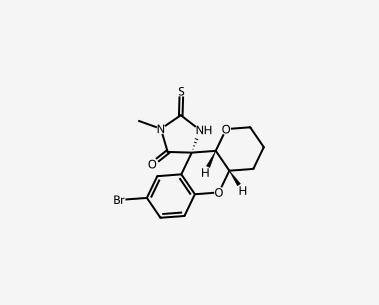 CN1C(=O)[C@]2(NC1=S)c1cc(Br)ccc1O[C@H]1CCCO[C@H]12